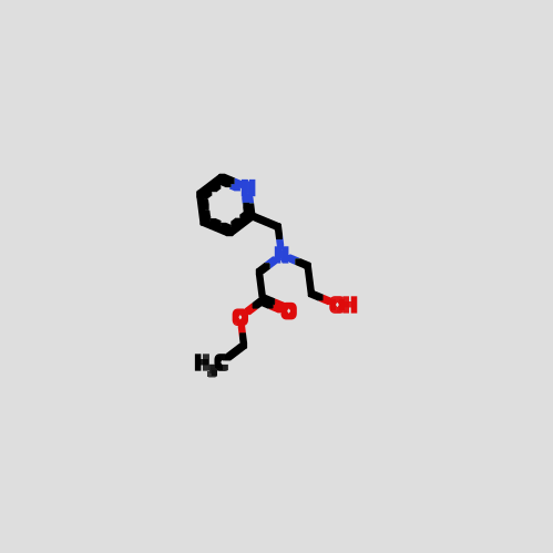 CCOC(=O)CN(CCO)Cc1ccccn1